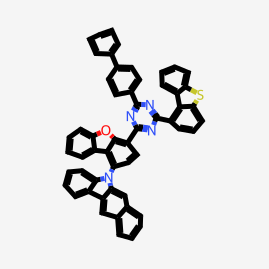 c1ccc(-c2ccc(-c3nc(-c4ccc(-n5c6ccccc6c6cc7ccccc7cc65)c5c4oc4ccccc45)nc(-c4cccc5sc6ccccc6c45)n3)cc2)cc1